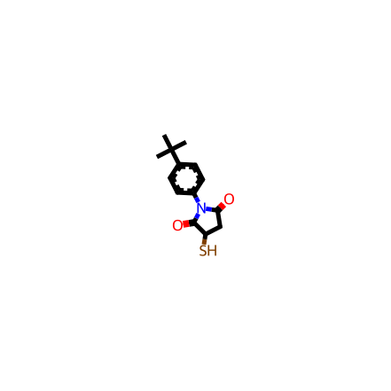 CC(C)(C)c1ccc(N2C(=O)CC(S)C2=O)cc1